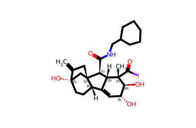 C=C1C[C@]23C[C@@]1(O)CC[C@H]2C1=C[C@@H](O)[C@H](O)[C@@](C)(C(=O)I)[C@H]1[C@@H]3C(=O)NCC1CCCCC1